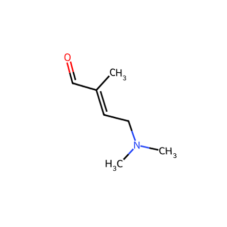 C/C(C=O)=C\CN(C)C